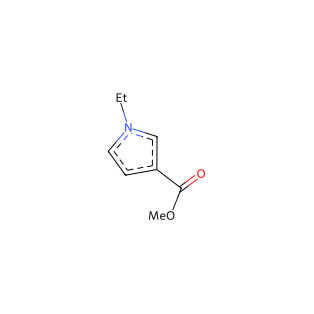 CCn1ccc(C(=O)OC)c1